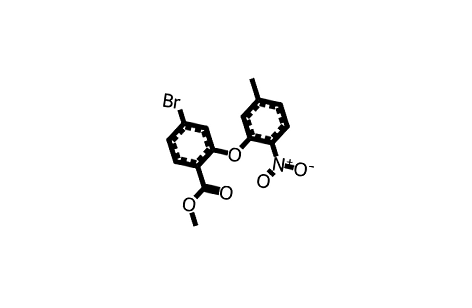 COC(=O)c1ccc(Br)cc1Oc1cc(C)ccc1[N+](=O)[O-]